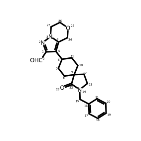 O=Cc1nn2c(c1C1CCC3(CC1)CCN(Cc1ccccc1)C3=O)COCC2